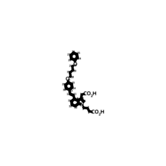 O=C(O)CCCn1cc(CC(=O)O)c2c(C=Cc3ccc(OCCCCOc4ccccc4)cc3)cccc21